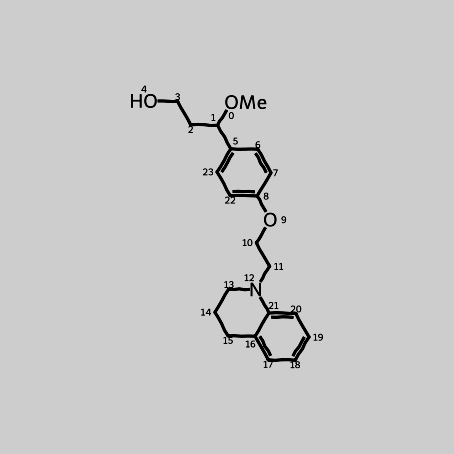 COC(CCO)c1ccc(OCCN2CCCc3ccccc32)cc1